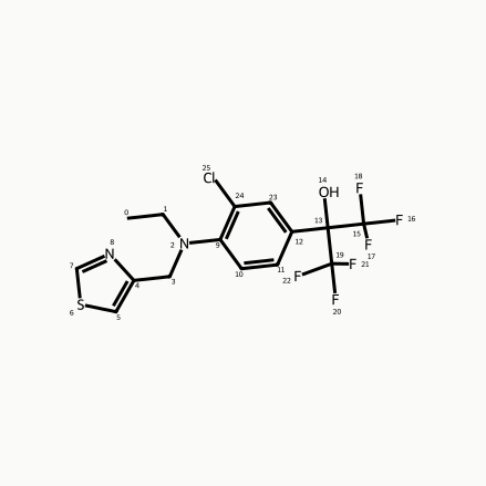 CCN(Cc1cscn1)c1ccc(C(O)(C(F)(F)F)C(F)(F)F)cc1Cl